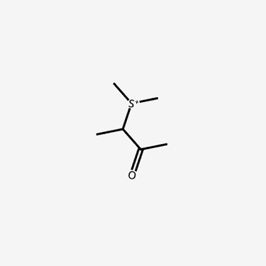 CC(=O)C(C)[S+](C)C